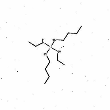 CCCCN[Si](NCC)(NCC)NCCCC